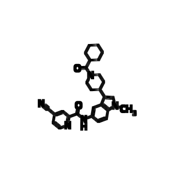 Cn1cc(C2CCN(C(=O)C3CCCCC3)CC2)c2cc(NC(=O)c3cc(C#N)ccn3)ccc21